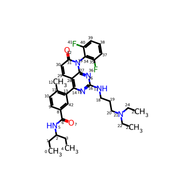 CCC(CC)NC(=O)c1ccc(C)c(-c2nc(NCCCN(CC)CC)nc3c2ccc(=O)n3-c2c(F)cccc2F)c1